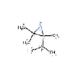 C[SiH](C)C1(C)NC1(C)[SiH3]